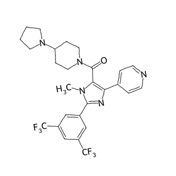 Cn1c(-c2cc(C(F)(F)F)cc(C(F)(F)F)c2)nc(-c2ccncc2)c1C(=O)N1CCC(N2CCCC2)CC1